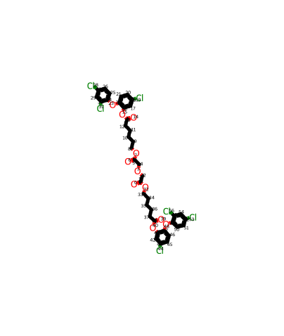 O=C(COCC(=O)OCCCCCC(=O)Oc1cc(Cl)ccc1Oc1ccc(Cl)cc1Cl)OCCCCCC(=O)Oc1cc(Cl)ccc1Oc1ccc(Cl)cc1Cl